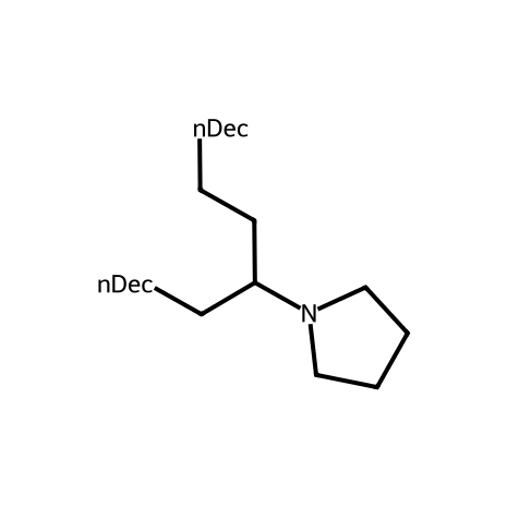 CCCCCCCCCCCCC(CCCCCCCCCCC)N1CCCC1